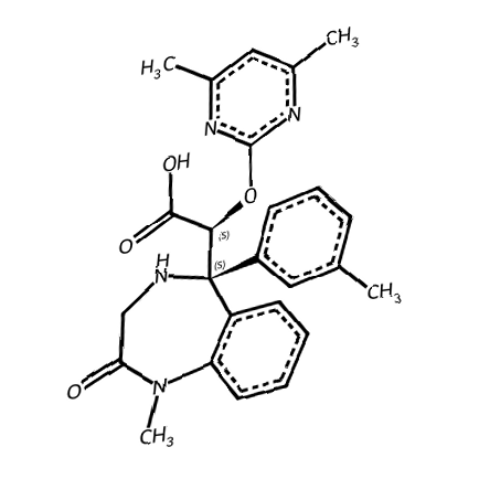 Cc1cccc([C@]2([C@H](Oc3nc(C)cc(C)n3)C(=O)O)NCC(=O)N(C)c3ccccc32)c1